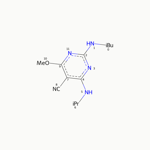 CCC(C)Nc1nc(NC(C)C)c(C#N)c(OC)n1